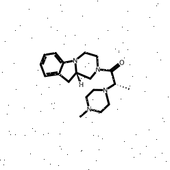 C[C@@H](C(=O)N1CCN2c3ccccc3C[C@H]2C1)N1CCN(C)CC1